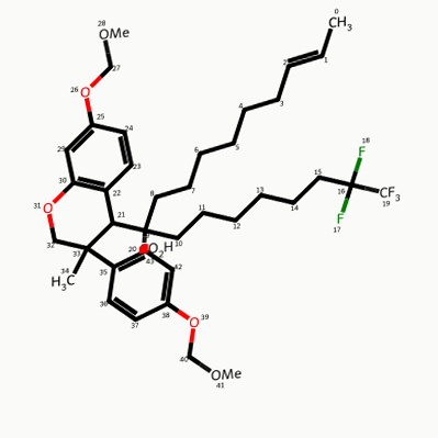 CC=CCCCCCCC(CCCCCCC(F)(F)C(F)(F)F)(C(=O)O)C1c2ccc(OCOC)cc2OCC1(C)c1ccc(OCOC)cc1